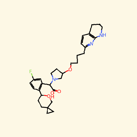 O=C(O)C(c1cc(F)ccc1C1CCC2(CC2)CO1)N1CCC(OCCCCc2ccc3c(n2)NCCC3)C1